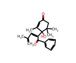 C=C(C)C=C(C(=O)c1ccccc1)C1(O)C(C)=CC(=O)CC1(C)C